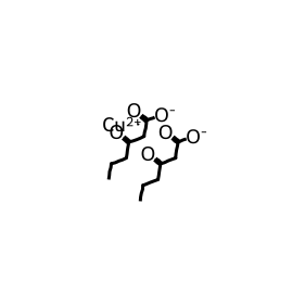 CCCC(=O)CC(=O)[O-].CCCC(=O)CC(=O)[O-].[Cu+2]